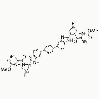 COC(=O)N[C@H](C(=O)N1C[C@@H](F)C[C@H]1c1nc2cc(-c3ccc(-c4ccc5nc([C@@H]6C[C@H](F)CN6C(=O)[C@@H](NC(=O)OC)C(C)C)[nH]c5c4)cc3)ccc2[nH]1)C(C)C